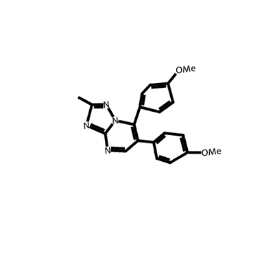 COc1ccc(-c2cnc3nc(C)nn3c2-c2ccc(OC)cc2)cc1